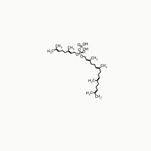 CC(C)=CCC/C(C)=C/CCC(C)=CCC/C(C)=C/COP(=O)(OC/C=C(\C)CCC=C(C)C)OP(=O)(O)O